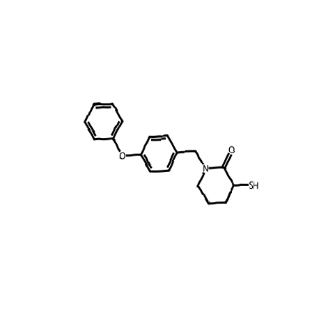 O=C1C(S)CCCN1Cc1ccc(Oc2ccccc2)cc1